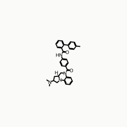 Cc1ccc(-c2ccccc2C(=O)Nc2ccc(C(=O)N3C[C@@H]4CC(N(C)C)CN4c4ccccc43)cc2)cc1